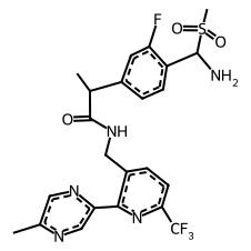 Cc1cnc(-c2nc(C(F)(F)F)ccc2CNC(=O)C(C)c2ccc(C(N)S(C)(=O)=O)c(F)c2)cn1